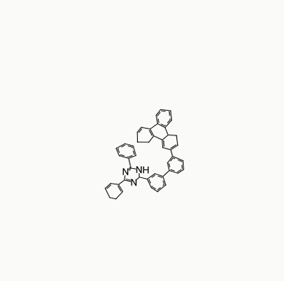 C1=CC(C2=NC(c3cccc(-c4cccc(C5=CCC6C(=C5)C5=C(C=CCC5)c5ccccc56)c4)c3)NC(c3ccccc3)=N2)=CCC1